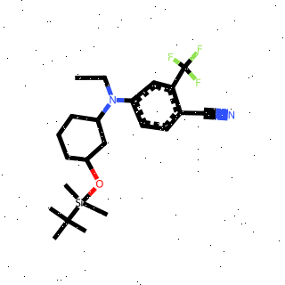 CCN(c1ccc(C#N)c(C(F)(F)F)c1)C1CCCC(O[Si](C)(C)C(C)(C)C)C1